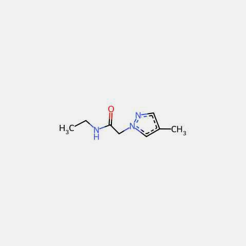 CCNC(=O)Cn1cc(C)cn1